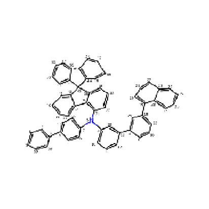 c1ccc(-c2ccc(N(c3cccc(-c4cccc(-c5cccc6ccccc56)c4)c3)c3cccc4c3-c3ccccc3C4(c3ccccc3)c3ccccc3)cc2)cc1